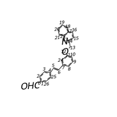 O=Cc1ccc(C=Cc2cccc(OCc3ccc4ccccc4n3)c2)cc1